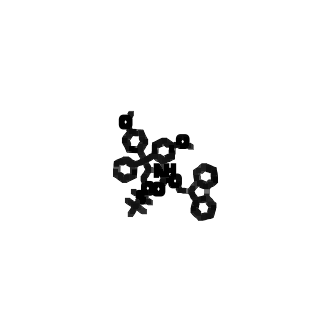 COc1ccc(C(c2ccccc2)(c2ccc(OC)cc2)C(CO[Si](C)(C)C(C)(C)C)NC(=O)OCC2c3ccccc3-c3ccccc32)cc1